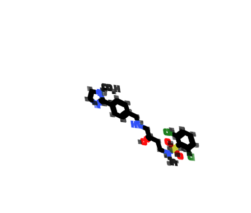 CC(C)N(CCC(=O)CNCc1ccc(C2=NCCN2C(=O)O)cc1)S(=O)(=O)c1c(Cl)cccc1Cl